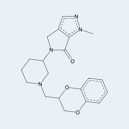 Cn1ncc2c1C(=O)N(C1CCCN(CC3COc4ccccc4O3)C1)C2